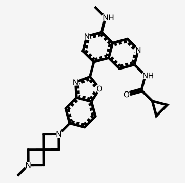 CNc1ncc(-c2nc3cc(N4CC5(CN(C)C5)C4)ccc3o2)c2cc(NC(=O)C3CC3)ncc12